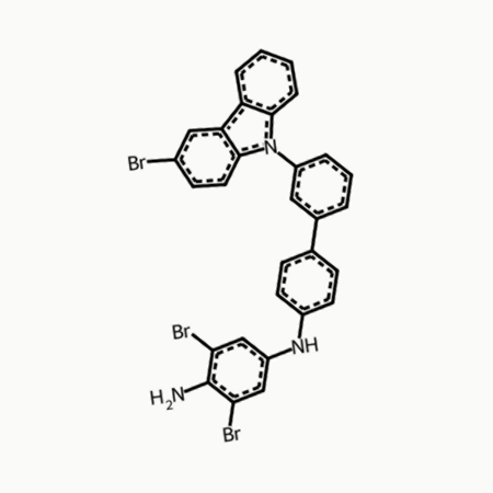 Nc1c(Br)cc(Nc2ccc(-c3cccc(-n4c5ccccc5c5cc(Br)ccc54)c3)cc2)cc1Br